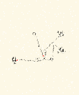 CC(=O)N[C@@H]1[C@H]2OC(C)(C)O[C@H]2[C@@](C)(COCCOCCOCCOCCn2cc(COCC(COCc3cn(CCOCCOCCOCCOC[C@@]45CO[C@@H](O4)[C@H](NC(C)=O)[C@H]4OC(C)(C)O[C@H]45)nn3)(COCc3cn(CCOCCOCCOCCOC[C@]45CO[C@H](C[C@H]6OC(C)(C)O[C@H]64)O5)nn3)NC(=O)CCCCCNC(=O)CCCCCSSc3ccccn3)nn2)O[C@@H]1O